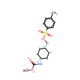 Cc1ccc(S(=O)(=O)OC[C@H]2CC[C@@H](NC(=O)OC(C)(C)C)CC2)cc1